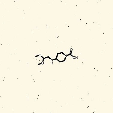 COC(CNC1CCN(C(=O)O)CC1)OC